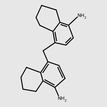 Nc1ccc(Cc2ccc(N)c3c2CCCC3)c2c1CCCC2